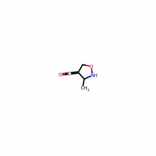 CC1NOCC1=C=O